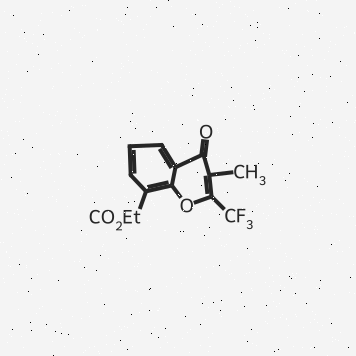 CCOC(=O)c1cccc2c(=O)c(C)c(C(F)(F)F)oc12